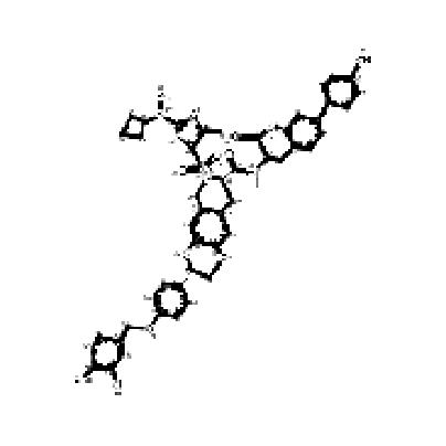 COC(=O)C(Cc1ccc(-c2ccc(C#N)cc2)cc1)NC(=O)[C@@H]1Cc2cc3c(cc2CN1S(=O)(=O)c1sc(N(C(C)=O)C2CCC2)nc1C)O[C@@H](c1ccc(OCc2ccc(Cl)c(Cl)c2)cc1)CO3